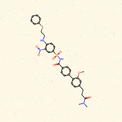 COc1cc(CCC(=O)N(C)C)ccc1-c1ccc(C(=O)NS(=O)(=O)c2ccc(NCCSc3ccccc3)c([N+](=O)[O-])c2)cc1